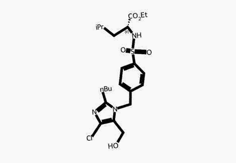 CCCCc1nc(Cl)c(CO)n1Cc1ccc(S(=O)(=O)N[C@H](CC(C)C)C(=O)OCC)cc1